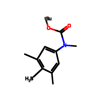 Bc1c(C)cc(N(C)C(=O)OC(C)(C)C)cc1C